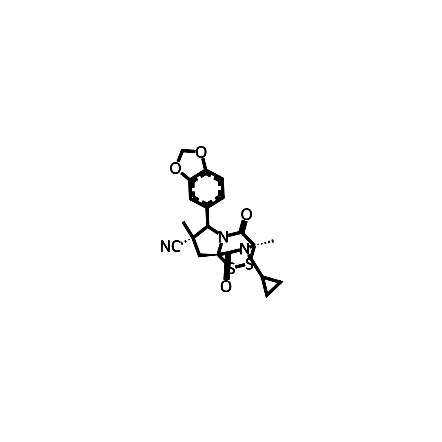 C[C@]1(C#N)C[C@@]23SS[C@](C)(C(=O)N2C1c1ccc2c(c1)OCO2)N(C1CC1)C3=O